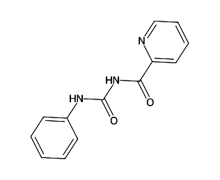 O=C(NC(=O)c1ccccn1)Nc1ccccc1